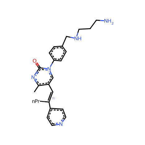 CCC/C(=C\c1cn(-c2ccc(CNCCCN)cc2)c(=O)nc1C)c1ccncc1